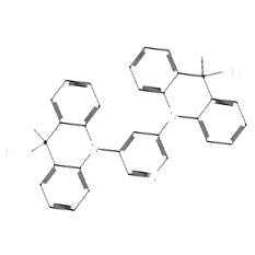 CC1(C)c2ccccc2N(c2cncc(N3c4ccccc4C(C)(C)c4ccccc43)c2)c2ccccc21